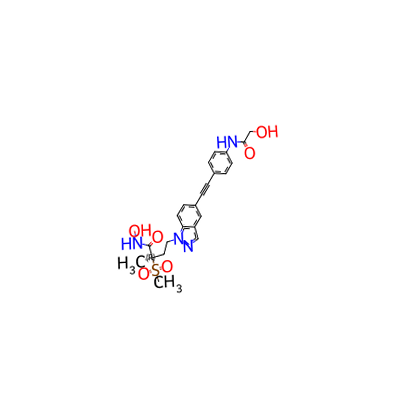 C[C@@](CCn1ncc2cc(C#Cc3ccc(NC(=O)CO)cc3)ccc21)(C(=O)NO)S(C)(=O)=O